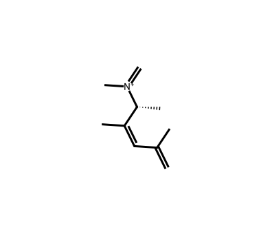 C=C(C)C=C(C)[C@@H](C)[N+](=C)C